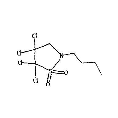 CCCCN1CC(Cl)(Cl)C(Cl)(Cl)S1(=O)=O